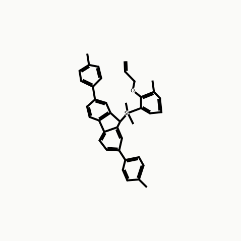 C=CCOc1c(C)cccc1[Si](C)(C)C1c2cc(-c3ccc(C)cc3)ccc2-c2ccc(-c3ccc(C)cc3)cc21